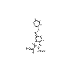 CCCCCCC(Sc1ccc(OCc2ccccc2)cc1)C(=O)NO